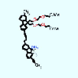 CC#Cc1ccc2c(c1)C(C)(N)c1cc(CCC#Cc3ccc4c(c3)C(CCOCCOCCOC)(CCOCCOCCOC)c3cc(C)ccc3-4)ccc1-2